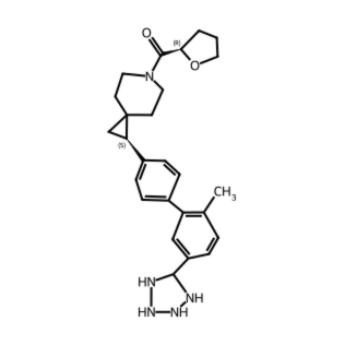 Cc1ccc(C2NNNN2)cc1-c1ccc([C@H]2CC23CCN(C(=O)[C@H]2CCCO2)CC3)cc1